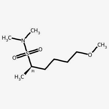 COCCCC[C@@H](C)S(=O)(=O)N(C)C